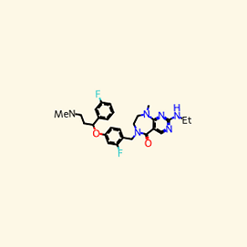 CCNc1ncc2c(n1)N(C)CCN(Cc1ccc(OC(CCNC)c3cccc(F)c3)cc1F)C2=O